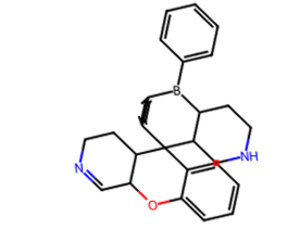 C1=NCCC2C1Oc1ccccc1C21c2ccccc2B(c2ccccc2)C2CCNCC21